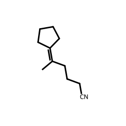 CC(CCCC#N)=C1CCCC1